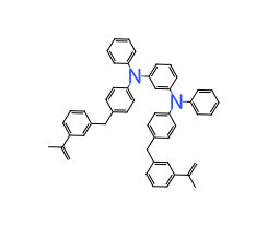 C=C(C)c1cccc(Cc2ccc(N(c3ccccc3)c3cccc(N(c4ccccc4)c4ccc(Cc5cccc(C(=C)C)c5)cc4)c3)cc2)c1